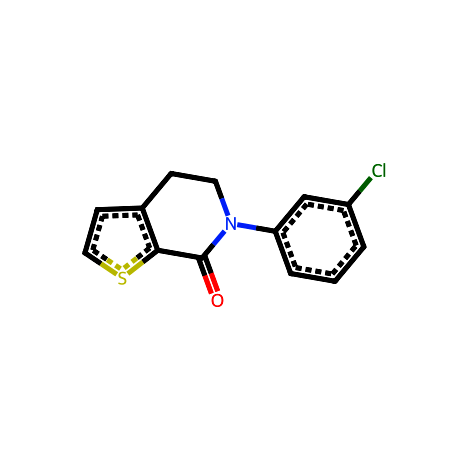 O=C1c2sccc2CCN1c1cccc(Cl)c1